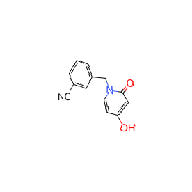 N#Cc1cccc(Cn2ccc(O)cc2=O)c1